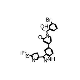 CC(C)Oc1ccc(-c2n[nH]c3ccc(-c4ccn([C@H](CO)c5cccc(Br)c5)c(=O)c4)cc23)cn1